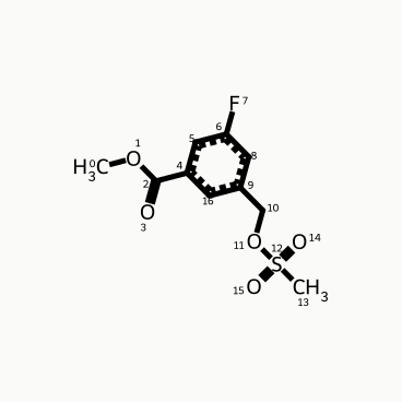 COC(=O)c1cc(F)cc(COS(C)(=O)=O)c1